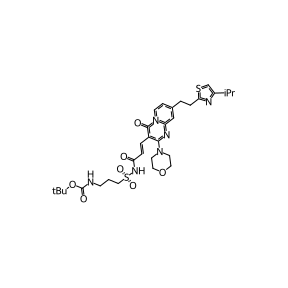 CC(C)c1csc(CCc2ccn3c(=O)c(/C=C/C(=O)NS(=O)(=O)CCCNC(=O)OC(C)(C)C)c(N4CCOCC4)nc3c2)n1